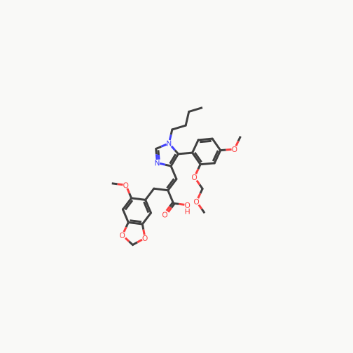 CCCCn1cnc(/C=C(\Cc2cc3c(cc2OC)OCO3)C(=O)O)c1-c1ccc(OC)cc1OCOC